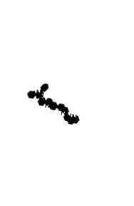 c1ccc(-c2cc(-c3cccc(-c4ccc5cc(-c6ccc7ccc(-c8ccc9ccc%10cccnc%10c9n8)nc7c6)ccc5n4)c3)nc(-c3ccccc3)n2)cc1